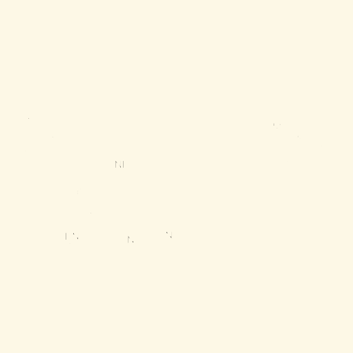 CS(=O)(=O)c1cccc(-c2ccc3c(NCCC4CC4)c(C(N)=O)nnc3c2)c1